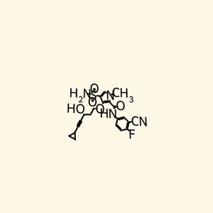 Cn1cc(S(N)(=O)=O)c(OCCC(O)C#CC2CC2)c1C(=O)Nc1ccc(F)c(C#N)c1